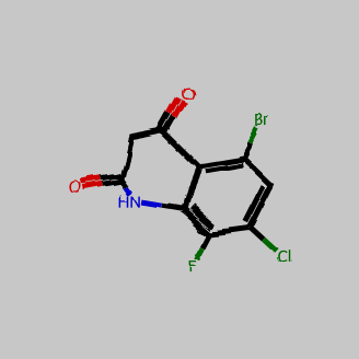 O=C1CC(=O)c2c(Br)cc(Cl)c(F)c2N1